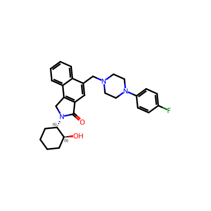 O=C1c2cc(CN3CCN(c4ccc(F)cc4)CC3)c3ccccc3c2CN1[C@H]1CCCC[C@@H]1O